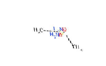 CCCCCCCCCCCC(SSC(CCCCCCCCCCC)C(N)=O)C(N)=O